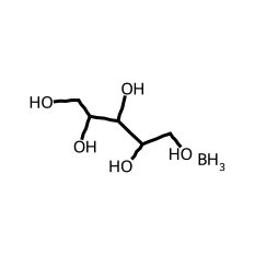 B.OCC(O)C(O)C(O)CO